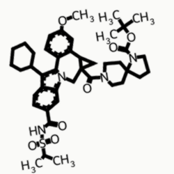 COc1ccc2c(c1)C1CC1(C(=O)N1CCC3(CCCN3C(=O)OC(C)(C)C)CC1)Cn1c-2c(C2CCCCC2)c2ccc(C(=O)NS(=O)(=O)C(C)C)cc21